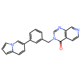 O=c1c2ccncc2ncn1Cc1cccc(-c2ccc3cccn3c2)c1